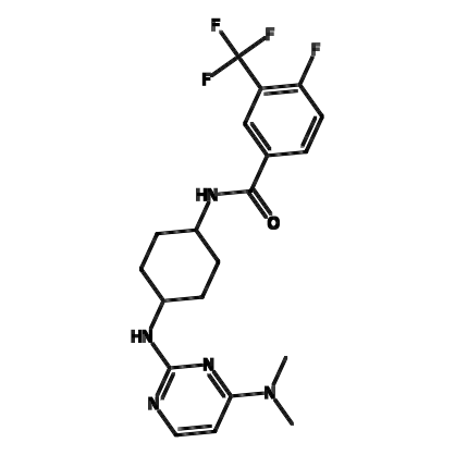 CN(C)c1ccnc(NC2CCC(NC(=O)c3ccc(F)c(C(F)(F)F)c3)CC2)n1